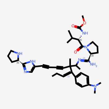 CC/C=C(/c1ccc(N(C)C)cc1)C(C)(C#CC#Cc1cnc([C@@H]2CCCN2)[nH]1)C(C)/N=C(\N)[C@@H]1CCCN1C(=O)[C@@H](NC(=O)OC)C(C)C